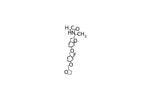 CC(=O)N[C@@H](C)[C@@H]1Cc2ccc(OCc3ccc(OCC4CCCO4)cc3F)cc2O1